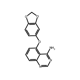 Nc1ncnc2cccc(Oc3ccc4c(c3)OCO4)c12